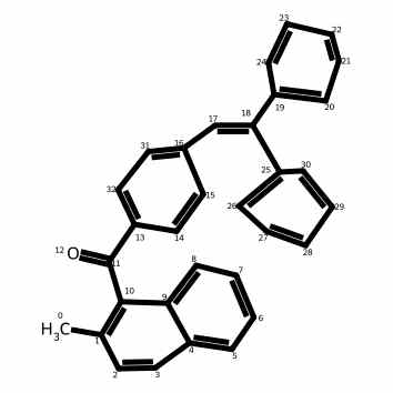 Cc1ccc2ccccc2c1C(=O)c1ccc(C=C(c2ccccc2)c2ccccc2)cc1